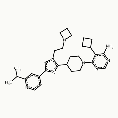 CC(C)c1cc(-c2cn(CCN3CCC3)c(C3CCN(c4ncnc(N)c4C4CCC4)CC3)n2)ccn1